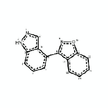 [c]1n[nH]c2cccc(-c3noc4ccccc34)c12